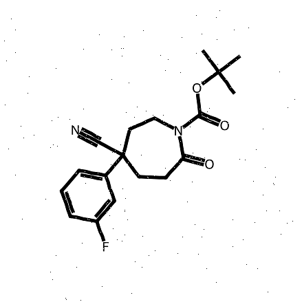 CC(C)(C)OC(=O)N1CCC(C#N)(c2cccc(F)c2)CCC1=O